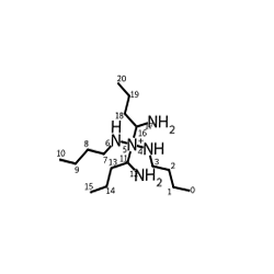 CCCCN[N+](NCCCC)(C(N)CCC)C(N)CCC